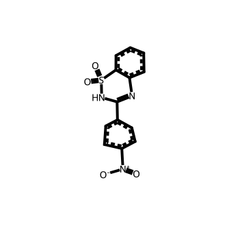 O=[N+]([O-])c1ccc(C2=Nc3ccccc3S(=O)(=O)N2)cc1